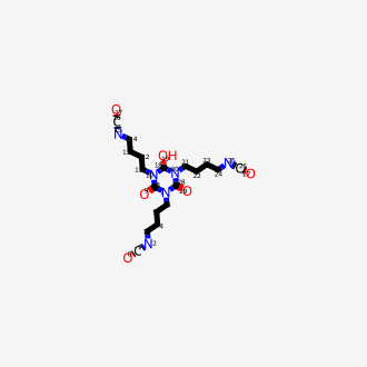 O=C=NCCCCN1C(=O)N(CCCCN=C=O)C(O)N(CCCCN=C=O)C1=O